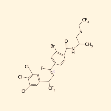 CC(CSCC(F)(F)F)NC(=O)c1ccc(/C(F)=C/C(c2cc(Cl)c(Cl)c(Cl)c2)C(F)(F)F)cc1Br